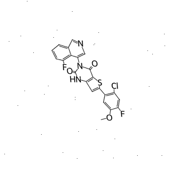 COc1cc(-c2cc3[nH]c(=O)n(-c4cncc5cccc(F)c45)c(=O)c3s2)c(Cl)cc1F